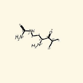 C=C(N)NCC[C@H](N)C(=O)C(C)C